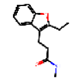 CCc1oc2ccccc2c1CCC(=O)NC